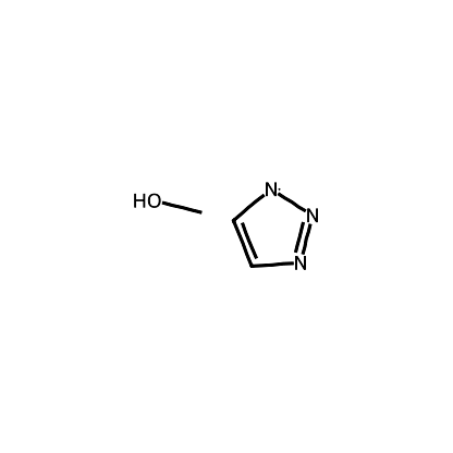 C1=CN=N[N]1.CO